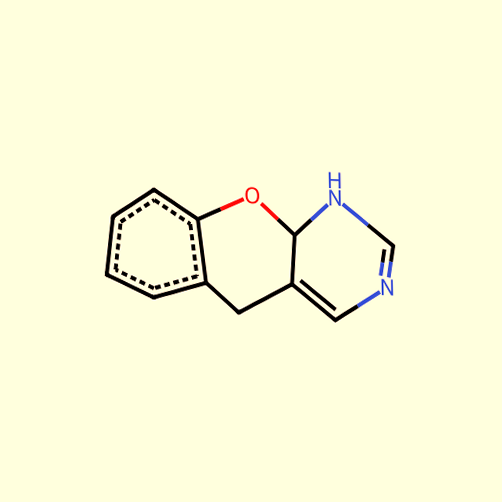 C1=NC=C2Cc3ccccc3OC2N1